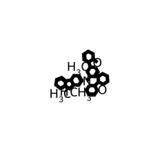 CC12CC(N(C3=CCC4C5=C=CCC[C@@H]5C(C)(C)C4C3)C3CC=CC4OC5CCCCC5C43)C=CC1OC1CCC=CC12